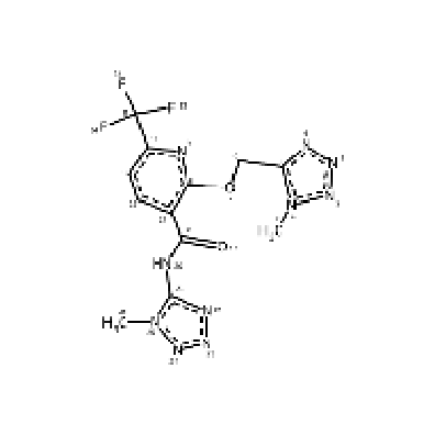 Cn1nnnc1COc1nc(C(F)(F)F)ccc1C(=O)Nc1nnnn1C